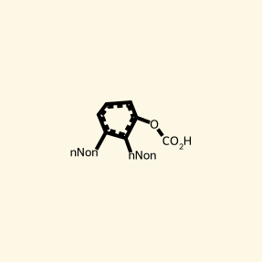 CCCCCCCCCc1cccc(OC(=O)O)c1CCCCCCCCC